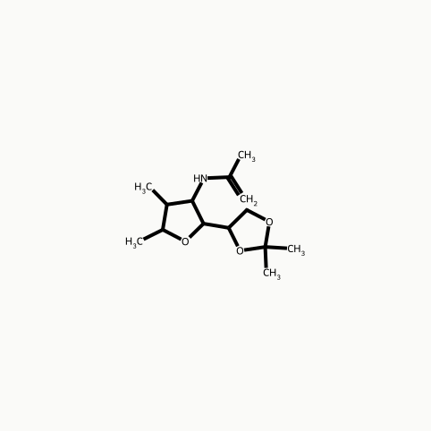 C=C(C)NC1C(C)C(C)OC1C1COC(C)(C)O1